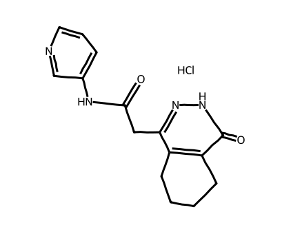 Cl.O=C(Cc1n[nH]c(=O)c2c1CCCC2)Nc1cccnc1